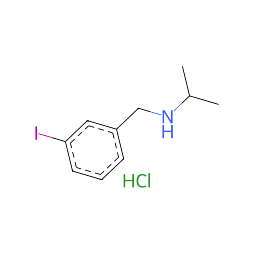 CC(C)NCc1cccc(I)c1.Cl